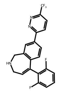 Fc1cccc(F)c1C1=CCNCc2cc(-c3ccc(C(F)(F)F)nn3)ccc21